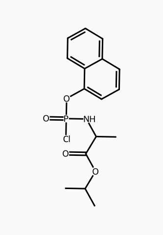 CC(C)OC(=O)C(C)NP(=O)(Cl)Oc1cccc2ccccc12